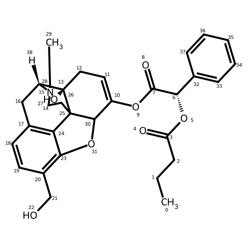 CCCC(=O)O[C@H](C(=O)OC1=CC[C@@]2(O)[C@H]3Cc4ccc(CO)c5c4C2(CCN3C)C1O5)c1ccccc1